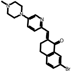 CN1CCN(c2ccc(/C=C3\CCc4ccc(Br)cc4C3=O)nc2)CC1